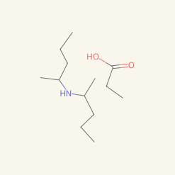 CCC(=O)O.CCCC(C)NC(C)CCC